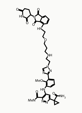 CNC(=O)c1nnc(C2(C(N)=O)CC2)cc1Nc1cccc(-c2ncn(CCNCCCOCCNc3cccc4c3C(=O)N(C3CCC(=O)NC3=O)C4=O)n2)c1OC